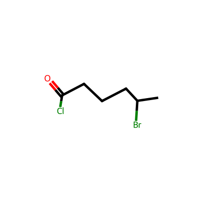 CC(Br)CCCC(=O)Cl